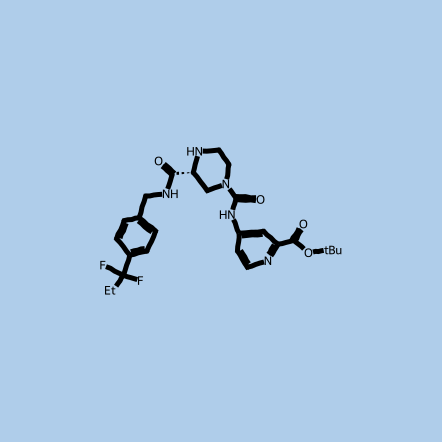 CCC(F)(F)c1ccc(CNC(=O)[C@H]2CN(C(=O)Nc3ccnc(C(=O)OC(C)(C)C)c3)CCN2)cc1